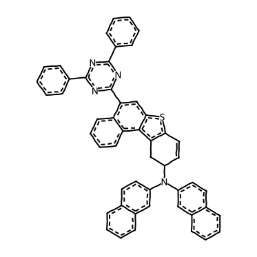 C1=CC(N(c2ccc3ccccc3c2)c2ccc3ccccc3c2)Cc2c1sc1cc(-c3nc(-c4ccccc4)nc(-c4ccccc4)n3)c3ccccc3c21